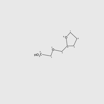 O=C(O)COCC1CCCO1